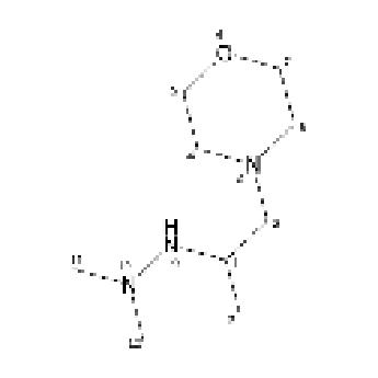 CC(CN1CCOCC1)NN(C)C